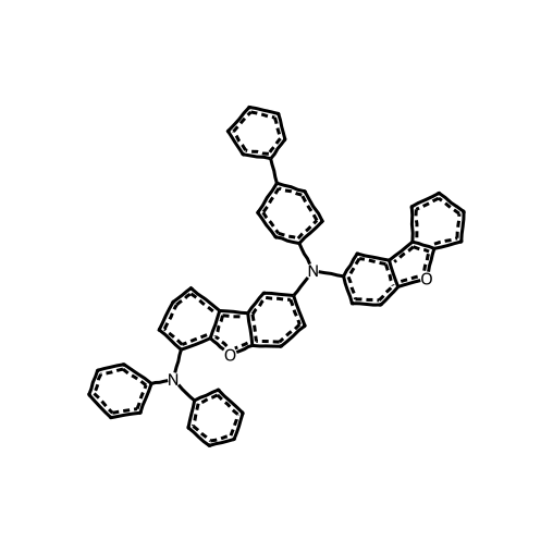 c1ccc(-c2ccc(N(c3ccc4oc5ccccc5c4c3)c3ccc4oc5c(N(c6ccccc6)c6ccccc6)cccc5c4c3)cc2)cc1